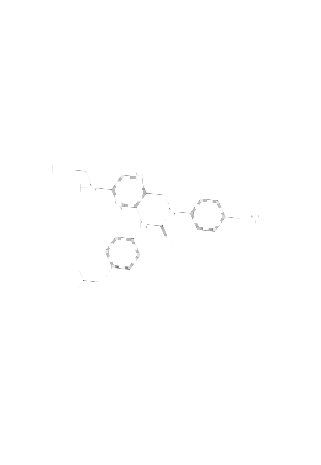 COc1ccc(N2Cc3ncc(NCC(F)(F)F)nc3N(c3ccc(OC(F)F)cc3)C2=O)cc1